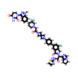 Cn1nc(N2CCC(=O)NC2=O)c2ccc([C@H]3CCN(CC(=O)N4CC5(C4)CN(c4ccc(-c6cc(F)c7c(c6)C(=O)N(C(C(=O)Nc6nccs6)c6ncn8c6CCC8)C7)cc4)C5)CC3(F)F)cc21